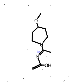 C=C(O)/N=C(\C)N1CCC(OC)CC1